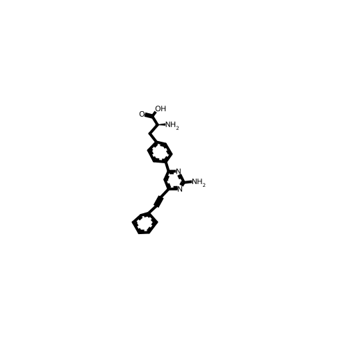 Nc1nc(C#Cc2ccccc2)cc(-c2ccc(C[C@H](N)C(=O)O)cc2)n1